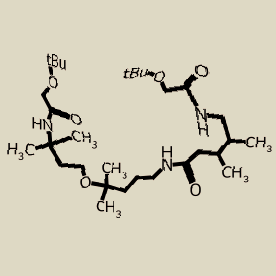 CC(CNC(=O)COC(C)(C)C)C(C)CC(=O)NCCCC(C)(C)OCCC(C)(C)NC(=O)COC(C)(C)C